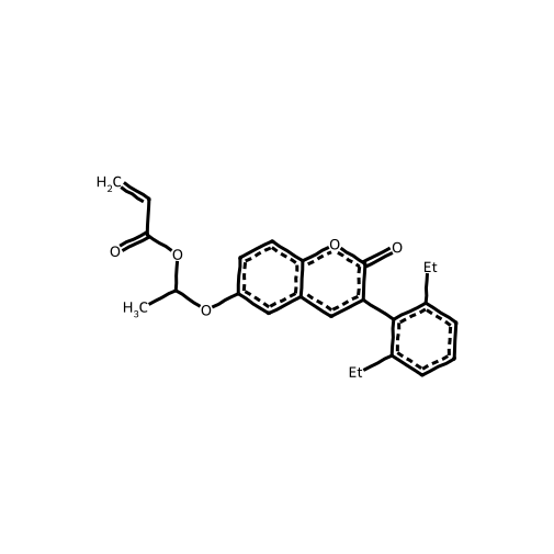 C=CC(=O)OC(C)Oc1ccc2oc(=O)c(-c3c(CC)cccc3CC)cc2c1